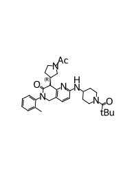 CC(=O)N1CC[C@H](C2C(=O)N(c3ccccc3C)Cc3ccc(NC4CCN(C(=O)C(C)(C)C)CC4)nc32)C1